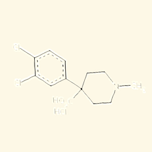 CN1CCC(C(=O)O)(c2ccc(Cl)c(Cl)c2)CC1.Cl